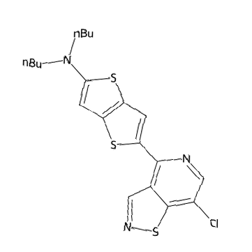 CCCCN(CCCC)c1cc2sc(-c3ncc(Cl)c4sncc34)cc2s1